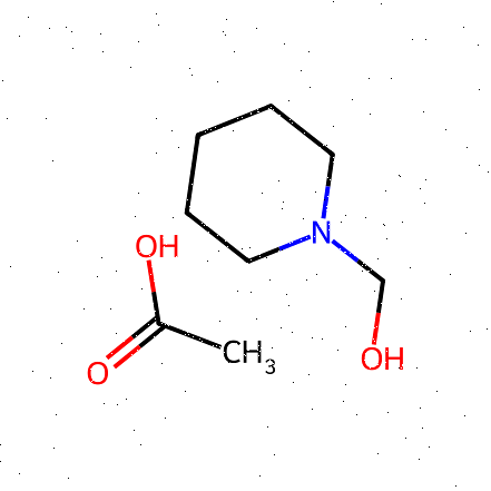 CC(=O)O.OCN1CCCCC1